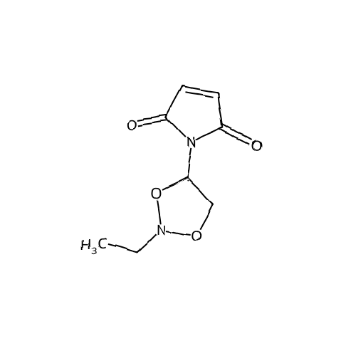 CCN1OC[C](N2C(=O)C=CC2=O)O1